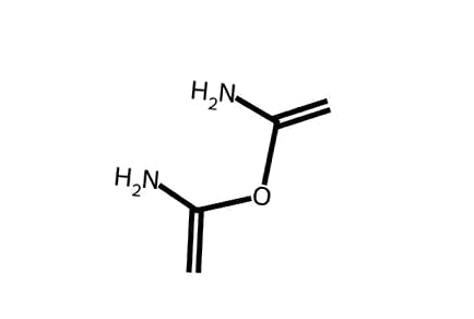 C=C(N)OC(=C)N